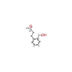 OCc1ccccc1CCC1CO1